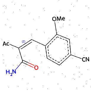 COc1cc(C#N)ccc1/C=C(/C(C)=O)C(N)=O